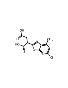 Cc1cc(Cl)cc2oc(C(CC(=O)O)C(O)=S)nc12